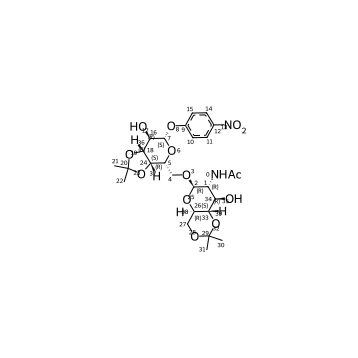 CC(=O)N[C@H]1[C@H](OC[C@H]2O[C@@H](Oc3ccc([N+](=O)[O-])cc3)[C@H](O)[C@H]3OC(C)(C)O[C@H]32)O[C@@H]2COC(C)(C)O[C@H]2[C@@H]1O